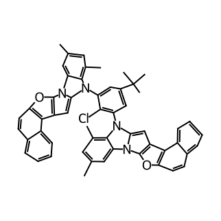 Cc1cc(C)c2c(c1)n1c3oc4ccc5ccccc5c4c3cc1n2-c1cc(C(C)(C)C)cc(-n2c3c(C)cc(C)cc3n3c4oc5ccc6ccccc6c5c4cc23)c1Cl